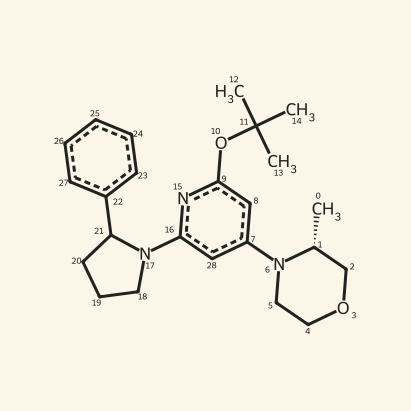 C[C@@H]1COCCN1c1cc(OC(C)(C)C)nc(N2CCCC2c2ccccc2)c1